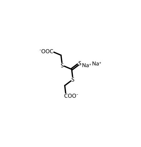 O=C([O-])CSC(=S)SCC(=O)[O-].[Na+].[Na+]